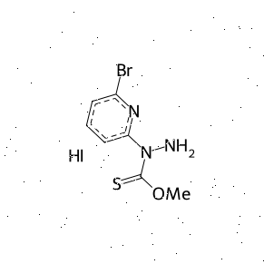 COC(=S)N(N)c1cccc(Br)n1.I